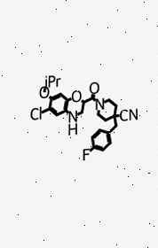 CC(C)Oc1cc2c(cc1Cl)NCC(C(=O)N1CCC(C#N)(Cc3ccc(F)cc3)CC1)O2